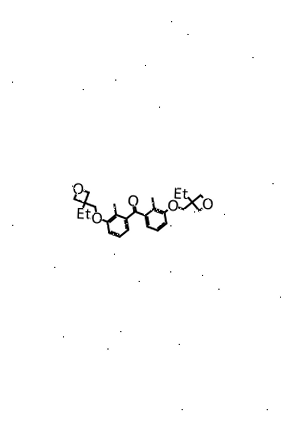 CCC1(COc2cccc(C(=O)c3cccc(OCC4(CC)COC4)c3C)c2C)COC1